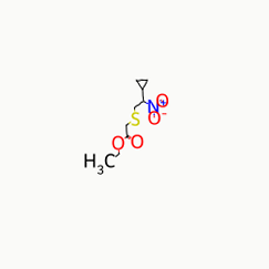 CCOC(=O)CSCC(C1CC1)[N+](=O)[O-]